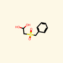 O=S(=O)(Cc1ccccc1)CC(O)O